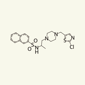 CC(CN1CCN(Cc2cnc(Cl)s2)CC1)NS(=O)(=O)c1ccc2ccccc2c1